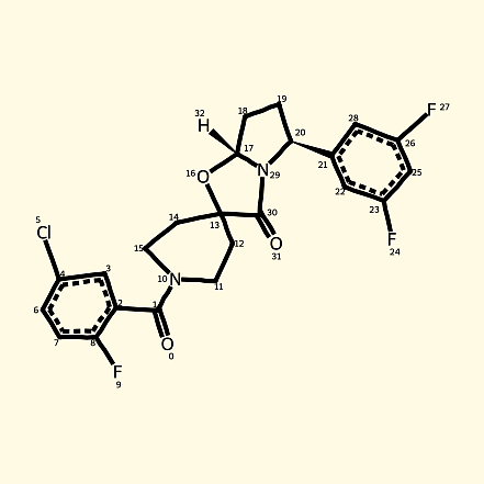 O=C(c1cc(Cl)ccc1F)N1CCC2(CC1)O[C@@H]1CC[C@@H](c3cc(F)cc(F)c3)N1C2=O